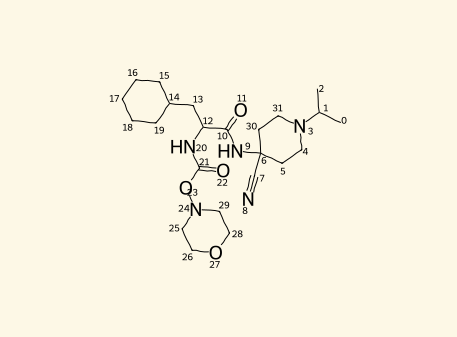 CC(C)N1CCC(C#N)(NC(=O)C(CC2CCCCC2)NC(=O)ON2CCOCC2)CC1